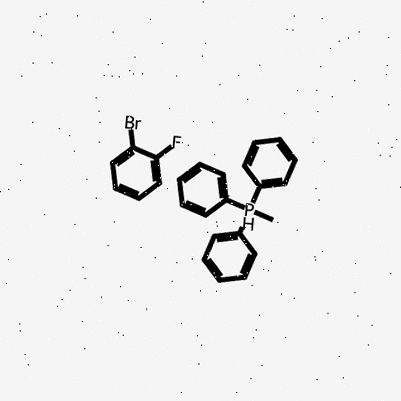 C[PH](c1ccccc1)(c1ccccc1)c1ccccc1.Fc1ccccc1Br